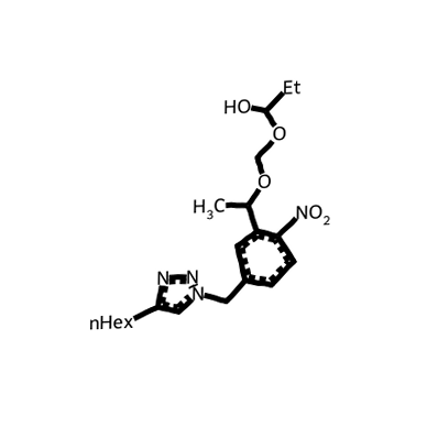 CCCCCCc1cn(Cc2ccc([N+](=O)[O-])c(C(C)OCOC(O)CC)c2)nn1